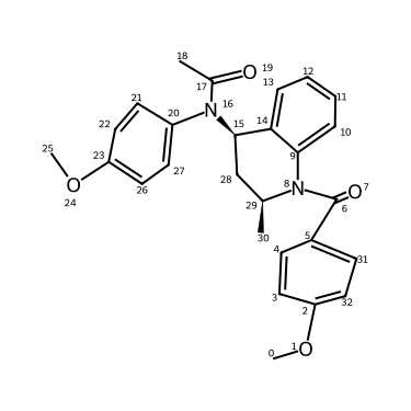 COc1ccc(C(=O)N2c3ccccc3[C@H](N(C(C)=O)c3ccc(OC)cc3)C[C@@H]2C)cc1